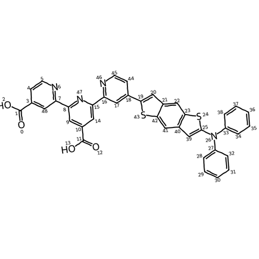 O=C(O)c1ccnc(-c2cc(C(=O)O)cc(-c3cc(-c4cc5cc6sc(N(c7ccccc7)c7ccccc7)cc6cc5s4)ccn3)n2)c1